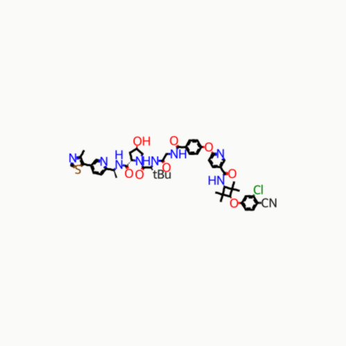 Cc1ncsc1-c1ccc([C@H](C)NC(=O)[C@@H]2C[C@@H](O)CN2C(=O)[C@@H](NC(=O)CNC(=O)c2ccc(Oc3ccc(C(=O)N[C@H]4C(C)(C)[C@H](Oc5ccc(C#N)c(Cl)c5)C4(C)C)cn3)cc2)C(C)(C)C)nc1